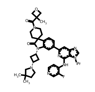 CC(C)n1cnc2cc(-c3ccc4c(c3)N([C@H]3C[C@@H](N5CCC(C)(C)C5)C3)C(=O)C43CCN(C(=O)C4(C)COC4)CC3)nc(Nc3ccncc3F)c21